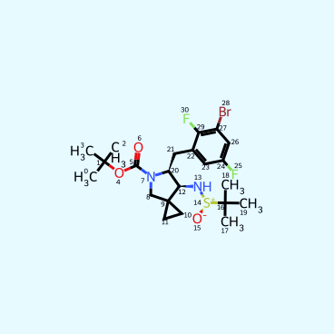 CC(C)(C)OC(=O)N1CC2(CC2)[C@H](N[S@+]([O-])C(C)(C)C)[C@@H]1Cc1cc(F)cc(Br)c1F